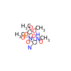 CCOc1cc(C(CS(C)(=O)=O)N2C(=O)c3c(C#N)ccc(NC(C)=O)c3C2=O)ccc1OC